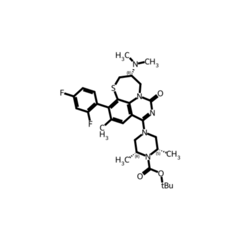 Cc1cc2c(N3C[C@@H](C)N(C(=O)OC(C)(C)C)[C@@H](C)C3)nc(=O)n3c2c(c1-c1ccc(F)cc1F)SC[C@H](N(C)C)C3